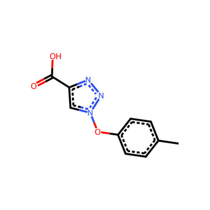 Cc1ccc(On2cc(C(=O)O)nn2)cc1